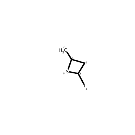 CC1CC(I)S1